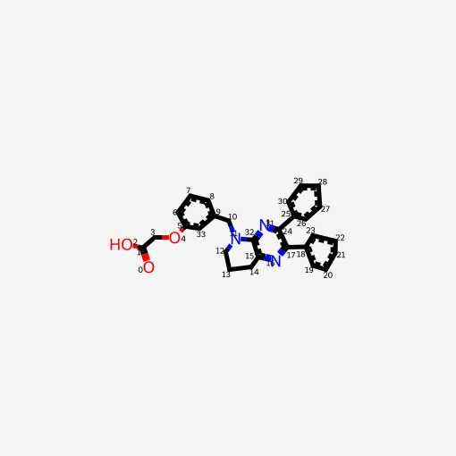 O=C(O)COc1cccc(CN2CCCc3nc(-c4ccccc4)c(-c4ccccc4)nc32)c1